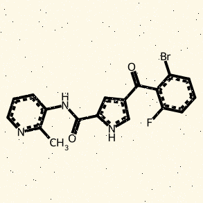 Cc1ncccc1NC(=O)c1cc(C(=O)c2c(F)cccc2Br)c[nH]1